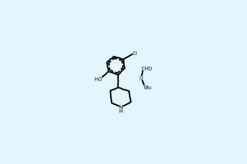 CC(C)(C)OC=O.Oc1ccc(Cl)cc1C1CCNCC1